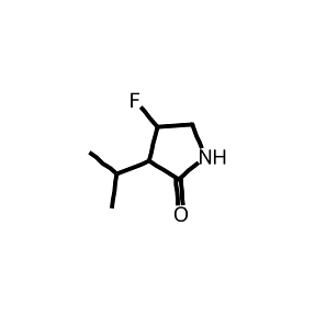 CC(C)C1C(=O)NCC1F